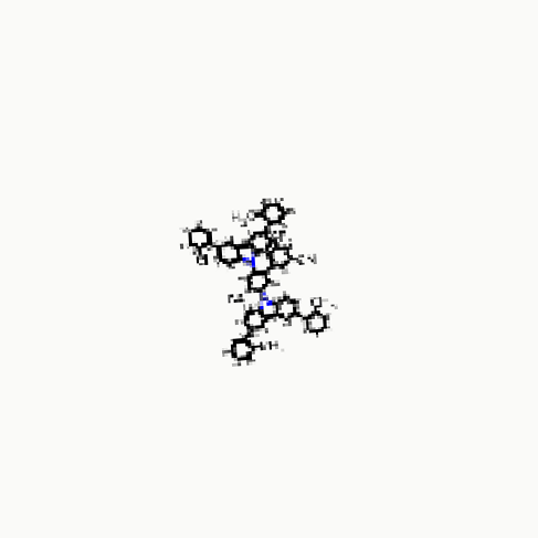 Cc1ccccc1-c1ccc2c(c1)c1cc(-c3ccccc3C)ccc1n2-c1cc(-c2cc(C#N)cc(C(F)(F)F)c2)c(-n2c3ccc(-c4ccccc4C)cc3c3cc(-c4ccccc4C)ccc32)cc1C#N